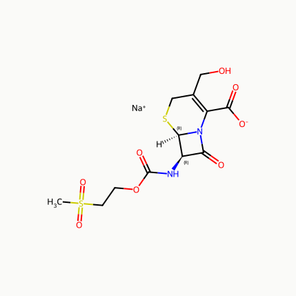 CS(=O)(=O)CCOC(=O)N[C@@H]1C(=O)N2C(C(=O)[O-])=C(CO)CS[C@H]12.[Na+]